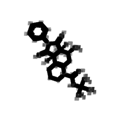 C[C@H]1CC2=C(CCCN2C(=O)OC(C)(C)C)[C@H]2C(=O)N(c3ccccc3)C(=O)[C@H]21